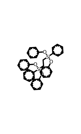 c1ccc(O[Si](CC[Si](Oc2ccccc2)(Oc2ccccc2)c2ccccc2)(Oc2ccccc2)c2ccccc2)cc1